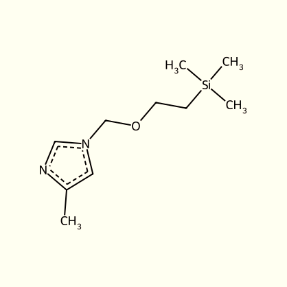 Cc1cn(COCC[Si](C)(C)C)cn1